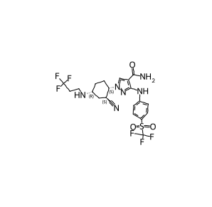 N#C[C@H]1C[C@H](NCCC(F)(F)F)CC[C@@H]1n1cc(C(N)=O)c(Nc2ccc(S(=O)(=O)C(F)(F)F)cc2)n1